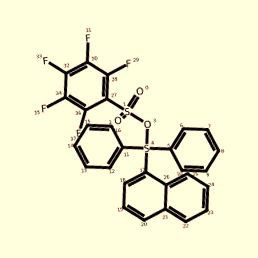 O=S(=O)(OS(c1ccccc1)(c1ccccc1)c1cccc2ccccc12)c1c(F)c(F)c(F)c(F)c1F